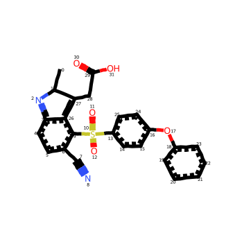 CC1N=c2ccc(C#N)c(S(=O)(=O)c3ccc(Oc4ccccc4)cc3)c2=C1CC(=O)O